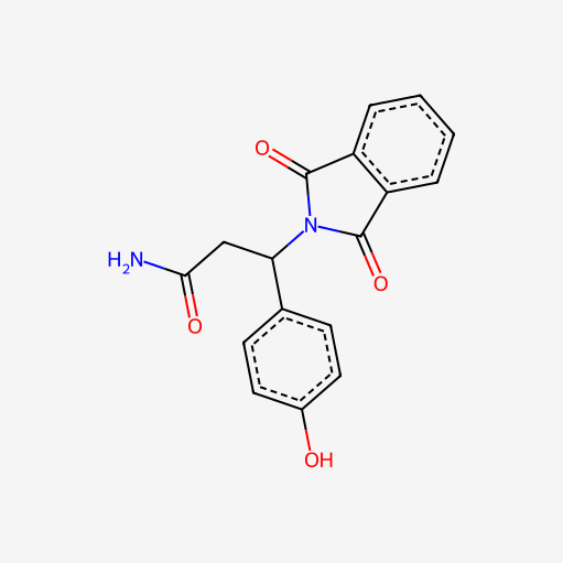 NC(=O)CC(c1ccc(O)cc1)N1C(=O)c2ccccc2C1=O